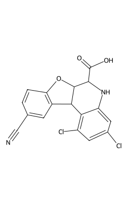 N#Cc1ccc2c(c1)C1c3c(Cl)cc(Cl)cc3NC(C(=O)O)C1O2